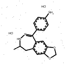 CC1Cc2cc3c(cc2C(c2ccc(N)cc2)=NN1)OCO3.Cl.Cl